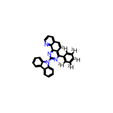 [2H]c1c([2H])c([2H])c(-c2nc(-n3c4ccccc4c4ccccc43)nc3c2ccc2cccnc23)c([2H])c1[2H]